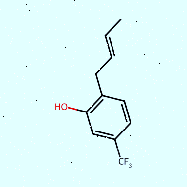 CC=CCc1ccc(C(F)(F)F)cc1O